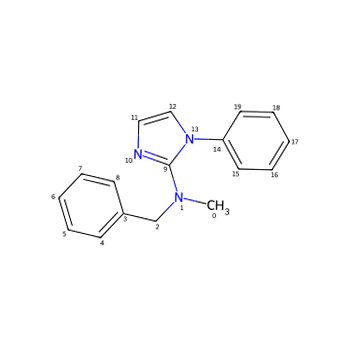 CN(Cc1ccccc1)c1nccn1-c1ccccc1